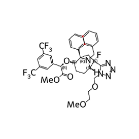 COCCOCn1nnnc1[C@]1(F)C[C@@]2(c3ccccc3)[C@H](O[C@@H](C(=O)OC)c3cc(C(F)(F)F)cc(C(F)(F)F)c3)CC[C@@H]1N2Cc1ccccc1